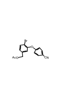 CC(=O)OCc1ccc(Br)c(Oc2ccc(C#N)cc2)c1